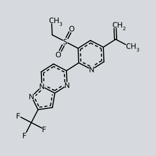 C=C(C)c1cnc(-c2ccn3nc(C(F)(F)F)cc3n2)c(S(=O)(=O)CC)c1